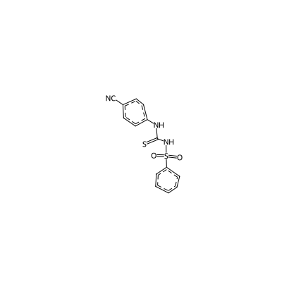 N#Cc1ccc(NC(=S)NS(=O)(=O)c2ccccc2)cc1